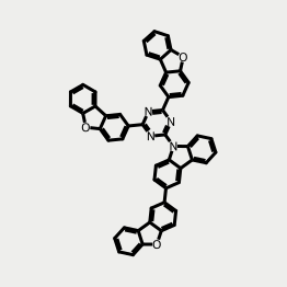 c1ccc2c(c1)oc1ccc(-c3ccc4c(c3)c3ccccc3n4-c3nc(-c4ccc5oc6ccccc6c5c4)nc(-c4ccc5oc6ccccc6c5c4)n3)cc12